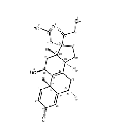 CCCC(=O)O[C@]1(C(=O)CO)CC[C@H]2C3=C([C@@H](O)C[C@@]21C)[C@@]1(C)C=CC(=O)C=C1[C@@H](C)C3